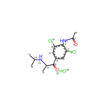 CC(=O)Nc1c(Cl)cc(C(=O)C(C)NC(C)C)cc1Cl.Cl